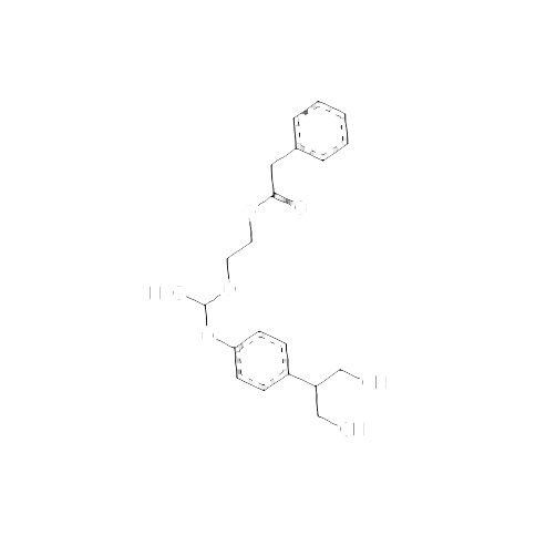 CCC(CC)c1ccc(OC(C)OCCOC(=O)Cc2ccccc2)cc1